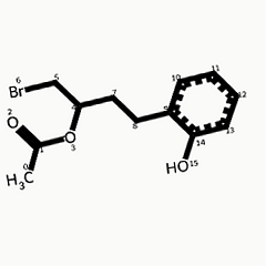 CC(=O)OC(CBr)CCc1ccccc1O